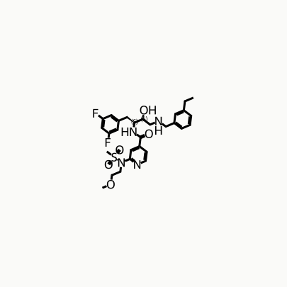 CCc1cccc(CNC[C@H](O)[C@H](Cc2cc(F)cc(F)c2)NC(=O)c2ccnc(N(CCOC)S(C)(=O)=O)c2)c1